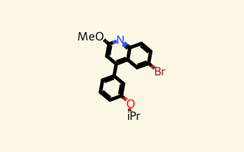 COc1cc(-c2cccc(OC(C)C)c2)c2cc(Br)ccc2n1